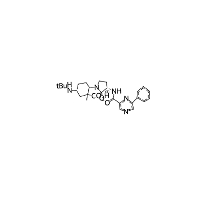 CC(C)(C)NC1CCC(N2CC[C@H](NC(=O)c3cncc(-c4ccccc4)n3)C2=O)C(C)(C(=O)O)C1